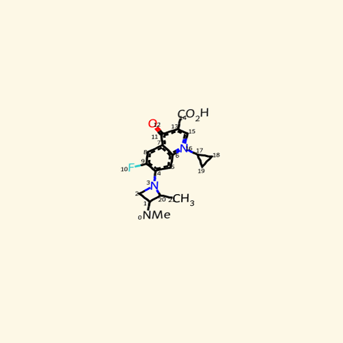 CNC1CN(c2cc3c(cc2F)c(=O)c(C(=O)O)cn3C2CC2)C1C